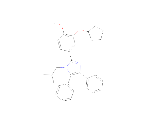 COc1ccc(-c2nc(-c3ccccc3)c(-c3ccccc3)n2CC(C)C)cc1OC1CCCC1